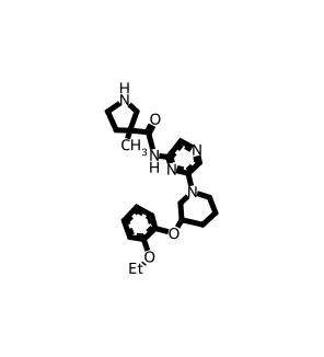 CCOc1ccccc1OC1CCCN(c2cncc(NC(=O)C3(C)CCNC3)n2)C1